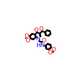 O=C(Cn1cc(C(=O)c2ccccc2)c(=O)c2cc3c(cc21)OCO3)Nc1ccc2c(c1)OCO2